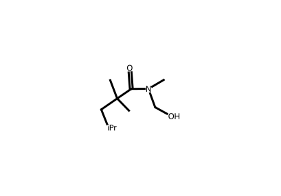 CC(C)CC(C)(C)C(=O)N(C)CO